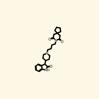 O=C1Nc2ccccc2C1C1CCN(CCCCN2C(=O)CC3(CCCC3)CC2=O)CC1